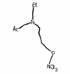 CCN(CCO[N+](=O)[O-])C(C)=O